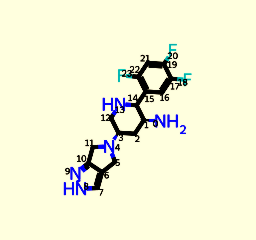 N[C@H]1C[C@@H](N2Cc3c[nH]nc3C2)CNC1c1cc(F)c(F)cc1F